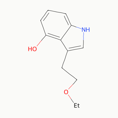 CCOCCc1c[nH]c2cccc(O)c12